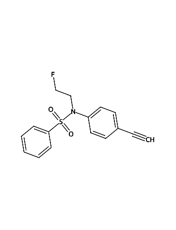 C#Cc1ccc(N(CCF)S(=O)(=O)c2ccccc2)cc1